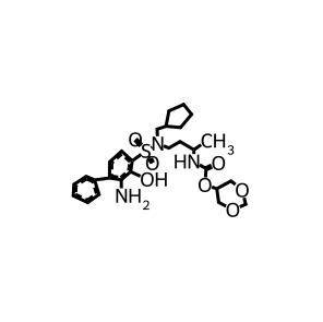 CC(CCN(CC1CCCC1)S(=O)(=O)c1ccc(-c2ccccc2)c(N)c1O)NC(=O)OC1COCOC1